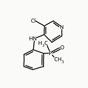 CP(C)(=O)c1ccccc1Nc1ccncc1Cl